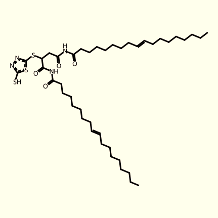 CCCCCCCCC=CCCCCCCCC(=O)NC(=O)CC(Sc1nnc(S)s1)C(=O)NC(=O)CCCCCCCC=CCCCCCCCC